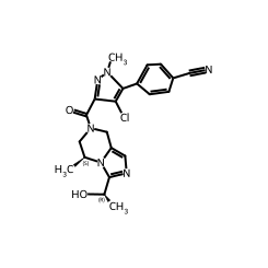 C[C@@H](O)c1ncc2n1[C@@H](C)CN(C(=O)c1nn(C)c(-c3ccc(C#N)cc3)c1Cl)C2